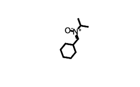 CC(C)/[N+]([O-])=C/C1CCCCC1